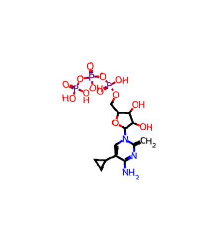 C=C1N=C(N)C(C2CC2)=CN1C1OC(COP(=O)(O)OP(=O)(O)OP(=O)(O)O)C(O)C1O